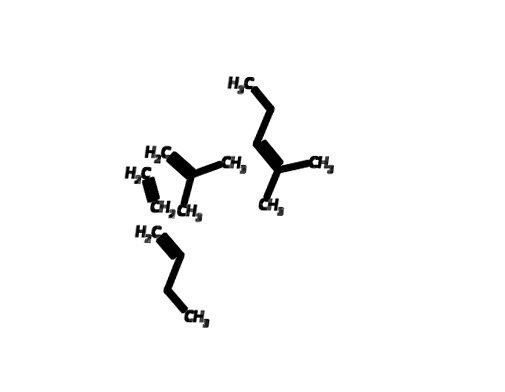 C=C.C=C(C)C.C=CCC.CCC=C(C)C